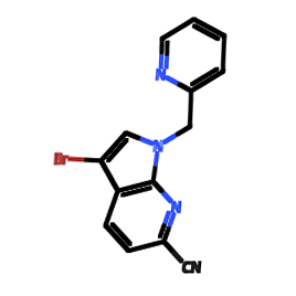 N#Cc1ccc2c(Br)cn(Cc3ccccn3)c2n1